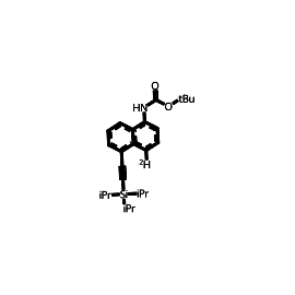 [2H]c1ccc(NC(=O)OC(C)(C)C)c2cccc(C#C[Si](C(C)C)(C(C)C)C(C)C)c12